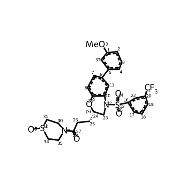 COc1cccc(-c2ccc3c(c2)N(S(=O)(=O)c2cccc(C(F)(F)F)c2)C[C@H](CCC(=O)N2CC[S+]([O-])CC2)O3)c1